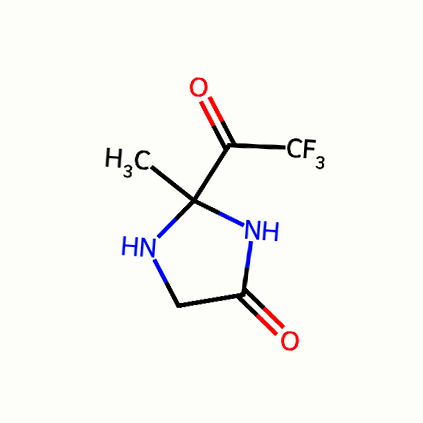 CC1(C(=O)C(F)(F)F)NCC(=O)N1